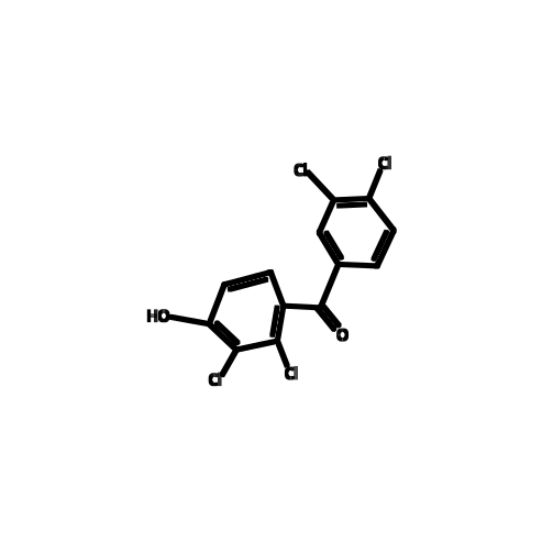 O=C(c1ccc(Cl)c(Cl)c1)c1ccc(O)c(Cl)c1Cl